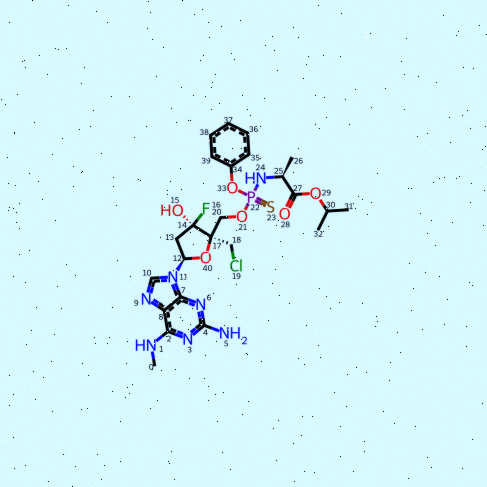 CNc1nc(N)nc2c1ncn2[C@H]1C[C@@](O)(F)[C@@](CCl)(COP(=S)(N[C@@H](C)C(=O)OC(C)C)Oc2ccccc2)O1